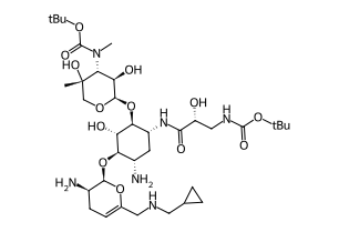 CN(C(=O)OC(C)(C)C)[C@@H]1[C@@H](O)[C@@H](O[C@@H]2[C@@H](O)[C@H](O[C@H]3OC(CNCC4CC4)=CC[C@H]3N)[C@@H](N)C[C@H]2NC(=O)[C@H](O)CNC(=O)OC(C)(C)C)OC[C@]1(C)O